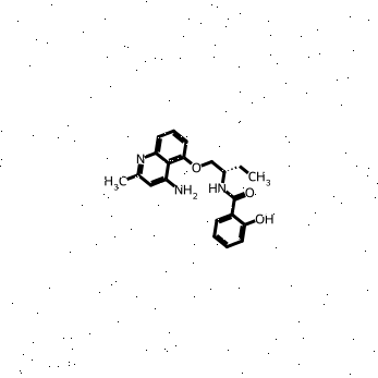 CC[C@@H](COc1cccc2nc(C)cc(N)c12)NC(=O)c1ccccc1O